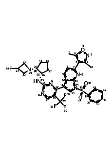 Cc1noc(C)c1-c1ccc2c(-c3nc(N[C@H]4CCC[C@H]4N4CC(F)C4)ncc3C(F)(F)F)cn(S(=O)(=O)c3ccccc3)c2n1